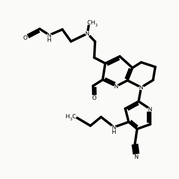 CCCNc1cc(N2CCCc3cc(CCN(C)CCNC=O)c(C=O)nc32)ncc1C#N